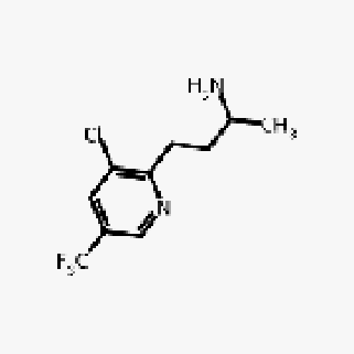 CC(N)CCc1ncc(C(F)(F)F)cc1Cl